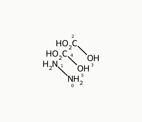 NN.O=C(O)O.O=C(O)O